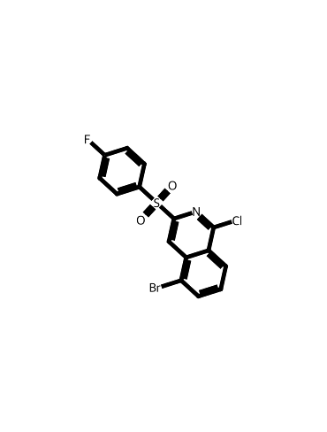 O=S(=O)(c1ccc(F)cc1)c1cc2c(Br)cccc2c(Cl)n1